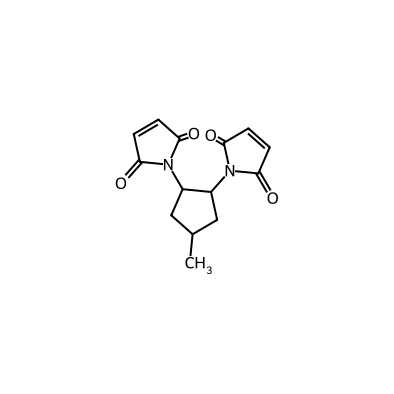 CC1CC(N2C(=O)C=CC2=O)C(N2C(=O)C=CC2=O)C1